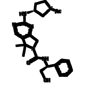 CC(=O)N1CC[C@@H](Nc2ncc3c(n2)CN(C(=O)N[C@H](CO)c2ccccc2)C3(C)C)C1